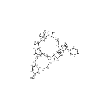 CO[C@@]1(CC(=O)c2ccccc2)/C=C/C[C@H](C)[C@@H](C)S(=O)(=O)NC(=O)c2ccc3c(c2)N(CCCCc2cc(Cl)ccc2CO3)C[C@@H]2CC[C@H]21